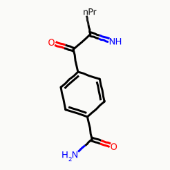 CCCC(=N)C(=O)c1ccc(C(N)=O)cc1